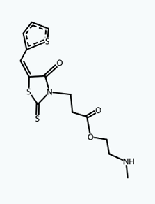 CNCCOC(=O)CCN1C(=O)/C(=C\c2cccs2)SC1=S